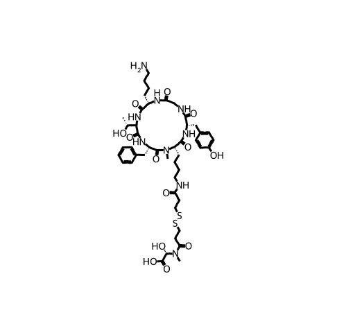 C[C@@H](O)C1NC(=O)[C@H](CCCCN)NC(=O)CNC(=O)[C@H](Cc2ccc(O)cc2)NC(=O)[C@H](CCCCNC(=O)CCSSCCC(=O)N(C)[C@@H](O)C(=O)O)N(C)C(=O)[C@H](Cc2ccccc2)NC1=O